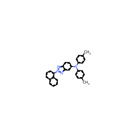 Cc1ccc(N(c2ccc(C)cc2)c2ccc3nn(-c4cccc5ccccc45)nc3c2)cc1